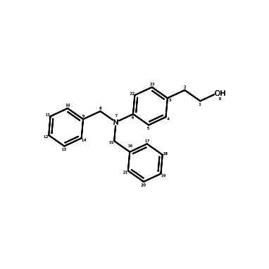 OCCc1ccc(N(Cc2ccccc2)Cc2ccccc2)cc1